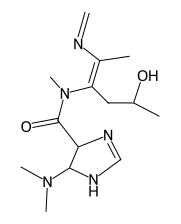 C=N/C(C)=C(/CC(C)O)N(C)C(=O)C1N=CNC1N(C)C